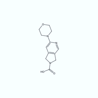 O=C(O)N1Cc2cnc(N3CCOCC3)cc2C1